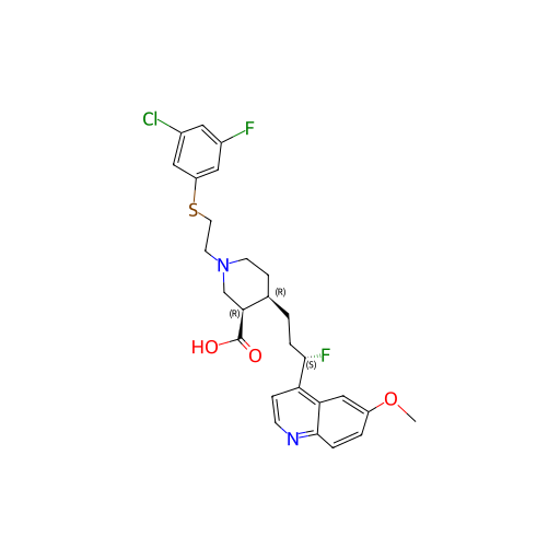 COc1ccc2nccc([C@@H](F)CC[C@@H]3CCN(CCSc4cc(F)cc(Cl)c4)C[C@@H]3C(=O)O)c2c1